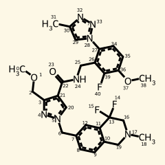 COCc1nn(Cc2ccc3c(c2)C(F)(F)CN(C)C3)cc1C(=O)NCc1c(-n2cc(C)nn2)ccc(OC)c1F